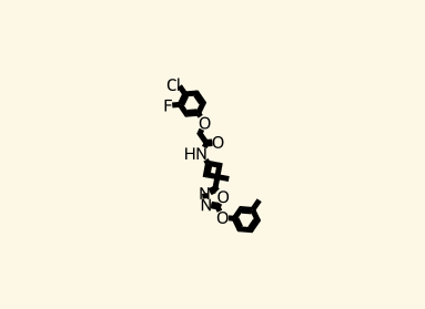 Cc1cccc(Oc2nnc(C3(C)C=C(NC(=O)COc4ccc(Cl)c(F)c4)C3)o2)c1